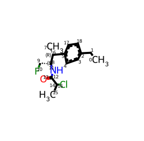 CCc1ccc([C@@H](C)[C@@H](CF)NC(=O)C(C)Cl)cc1